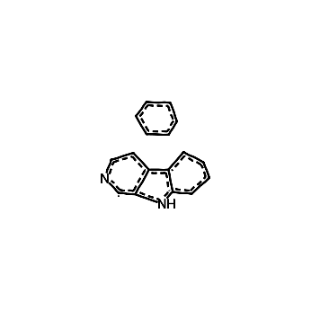 [c]1nccc2c1[nH]c1ccccc12.c1ccccc1